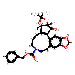 CC1(C)O[C@@H]2C(=O)C3=C(CCCN(C(=O)OCc4ccccc4)CCc4cc5c(cc43)OCO5)[C@@H]2O1